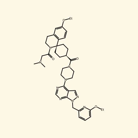 CCOc1ccc2c(c1)CCN(C(=O)CN(C)C)[C@]21CC[C@H](C(=O)N2CCN(c3ncnc4c3cnn4Cc3cccc(OCC)n3)CC2)CC1